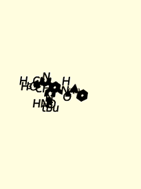 CC(C)(C)NC(=O)N1CCc2c(-c3cncc(C(C)(C)O)c3)ccc(CNC(=O)[C@H]3C[C@@H]3c3ccccc3)c2C1